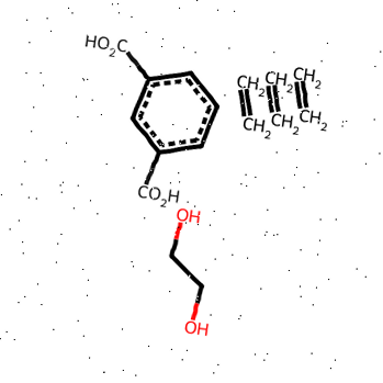 C=C.C=C.C=C.O=C(O)c1cccc(C(=O)O)c1.OCCO